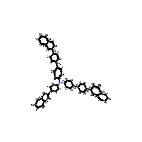 C1=C(c2ccc(N(c3ccc(-c4ccc(-c5ccc6ccccc6c5)cc4)cc3)c3ccc(-c4ccc(-c5ccc6ccccc6c5)cc4)cc3)cc2)Cc2ccccc21